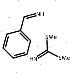 CSC(=N)SC.N=Cc1ccccc1